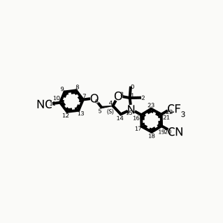 CC1(C)O[C@H](COc2ccc(C#N)cc2)CN1c1ccc(C#N)c(C(F)(F)F)c1